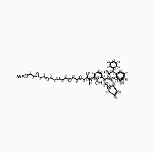 COCCOCCOCCOCCOCCOCC(=O)NC1=CC=CC([C@@H](CN2CCCC2)N(C)C(=O)C(c2ccccc2)c2ccccc2)C1C